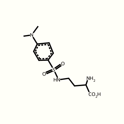 CN(C)c1ccc(S(=O)(=O)NCCC(N)C(=O)O)cc1